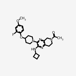 COc1ccc(OC2CCN(c3nc4c(nc3NC3CCC3)CCN(C(C)=O)C4)CC2)c(F)c1